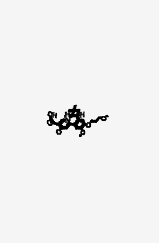 COCCCOc1cc2c(cc1OC)-c1cc(=O)c(C3OC3O)cn1[C@H]1[C@@H]2CC1(C)C